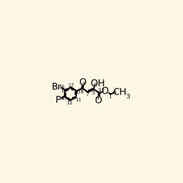 CCOC(=O)/C(O)=C/C(=O)c1ccc(F)c(Br)c1